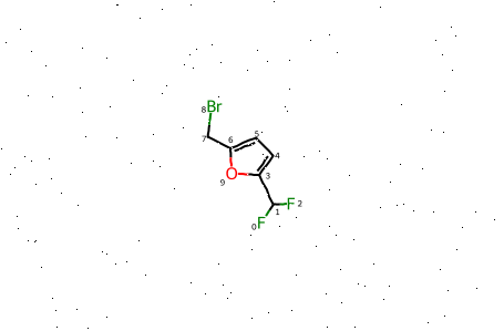 FC(F)c1ccc(CBr)o1